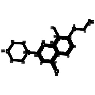 CC(=O)COc1ccc2c(=O)cc(N3CCOCC3)oc2c1C